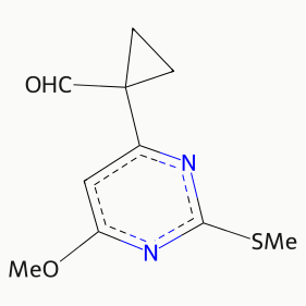 COc1cc(C2(C=O)CC2)nc(SC)n1